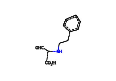 CCOC(=O)C(C=O)NCCc1ccccc1